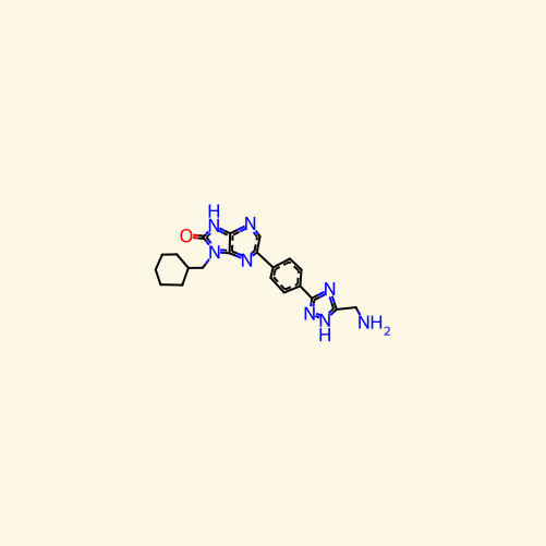 NCc1nc(-c2ccc(-c3cnc4[nH]c(=O)n(CC5CCCCC5)c4n3)cc2)n[nH]1